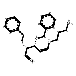 C=C[C@H](OCc1ccccc1)[C@@H](/C=C\OCCCC)OCc1ccccc1